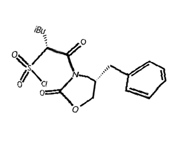 CCC(C)[C@H](C(=O)N1C(=O)OC[C@H]1Cc1ccccc1)S(=O)(=O)Cl